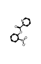 O=C(Oc1ccccc1[N+](=O)[O-])c1ccccn1